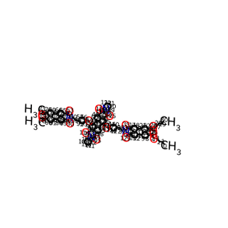 CCCCOC(=O)c1ccc2c3ccc4c5c(ccc(c6ccc(C(=O)OCCCC)c1c26)c53)C(=O)N(CCc1ccc(Oc2cc3c5c(ccc6c7c(Oc8ccc(CCN9C(=O)c%10ccc%11c%12ccc(C(C)=O)c%13c(C(C)=O)ccc(c%14ccc(c%10c%11%14)C9=O)c%13%12)cc8)cc8c9c(ccc(c2c56)c97)C(=O)N(C2CCCCC2)C8=O)C(=O)C(N2CCCCC2)C3=O)cc1)C4=O